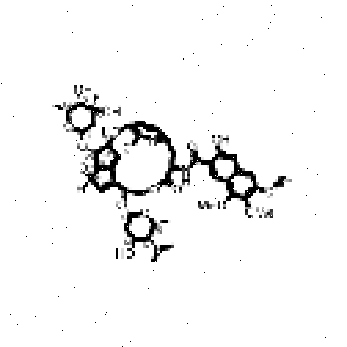 COc1c(OC(C)C)cc2cc(O)c(C(=O)NC3Cc4ccc(c(Cl)n4)O[C@H]4C=C5C(=C[C@@H]6O[C@]56[C@H]4O[C@H]4C[C@@](C)(O)[C@@H](O)[C@H](C)O4)C(O[C@H]4C[C@H](O)[C@H](N(C)C)[C@H](C)O4)COC3=O)cc2c1OC